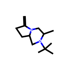 C=C1CCC2CN(C(C)(C)C)C(C)CN12